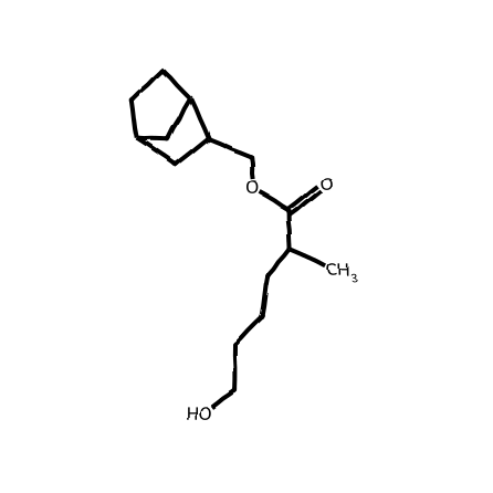 CC(CCCCO)C(=O)OCC1CC2CCC1C2